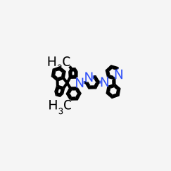 Cc1ccc2c(c1)C1(c3ccccc3-c3ccccc31)c1cc(C)ccc1N2c1ccc(-n2c3ccccc3c3ncccc32)cn1